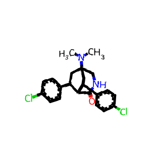 CN(C)C12CNC(=O)C(C(c3ccc(Cl)cc3)C1)C(c1ccc(Cl)cc1)C2